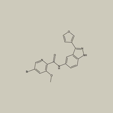 COc1cc(Br)cnc1C(=O)Nc1ccc2[nH]nc(-c3ccoc3)c2c1